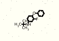 CC(C)(C)Nc1ccc(Oc2ccccc2)c(F)c1